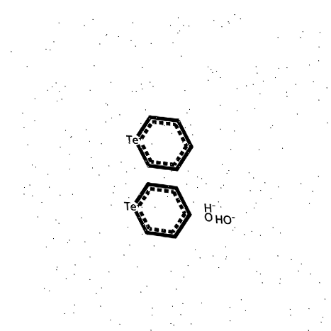 [OH-].[OH-].c1cc[te+]cc1.c1cc[te+]cc1